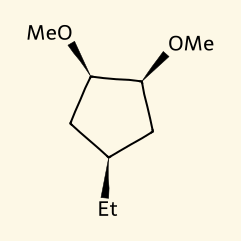 CC[C@@H]1C[C@H](OC)[C@H](OC)C1